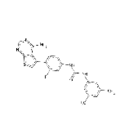 Cc1cc(C)cc(NC(=O)Nc2ccc(-c3csc4ncnc(N)c34)c(F)c2)c1